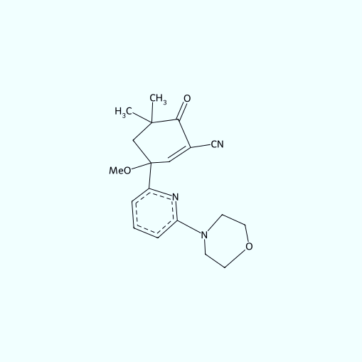 COC1(c2cccc(N3CCOCC3)n2)C=C(C#N)C(=O)C(C)(C)C1